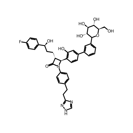 O=C1[C@H](CC[C@H](O)c2ccc(F)cc2)[C@@H](c2ccc(-c3cccc(C4O[C@H](CO)[C@@H](O)[C@H](O)[C@H]4O)c3)cc2O)N1c1ccc(CCc2nc[nH]n2)cc1